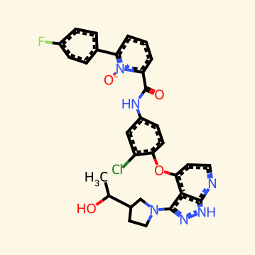 CC(O)C1CCN(c2n[nH]c3nccc(Oc4ccc(NC(=O)c5cccc(-c6ccc(F)cc6)[n+]5[O-])cc4Cl)c23)C1